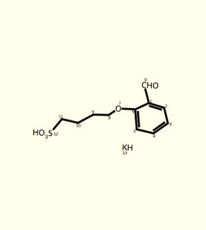 O=Cc1ccccc1OCCCCS(=O)(=O)O.[KH]